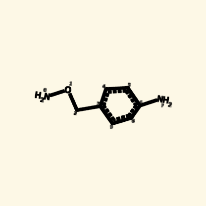 NOCc1ccc(N)cc1